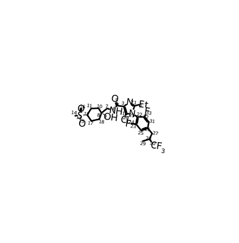 CCc1nc(C(=O)NC[C@]2(O)CC[C@@H](S(C)(=O)=O)CC2)c(Cl)n1-c1c(F)cc(CC(C)C(F)(F)F)cc1F